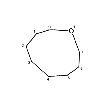 [CH]1CCCCCCCO1